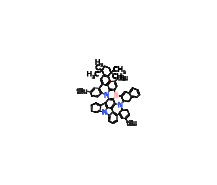 CC(C)(C)c1ccc(N2c3cc4ccccc4cc3B3c4cc(C(C)(C)C)ccc4N(c4ccc(C(C)(C)C)cc4-c4ccc5c(c4)C(C)(C)CCC5(C)C)c4c3c2c2c3ccccc3n3c5ccccc5c4c23)cc1